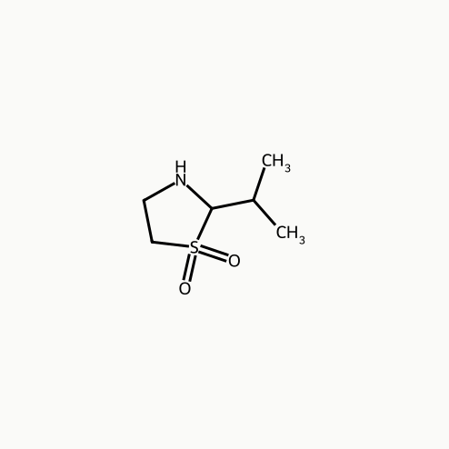 CC(C)C1NCCS1(=O)=O